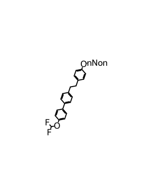 CCCCCCCCCOc1ccc(CCc2ccc(-c3ccc(OC(F)F)cc3)cc2)cc1